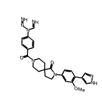 COc1cc(N2CCC3(CCN(C(=O)c4ccc(N(C=N)N=N)cc4)CC3)C2=O)ccc1-c1cn[nH]c1